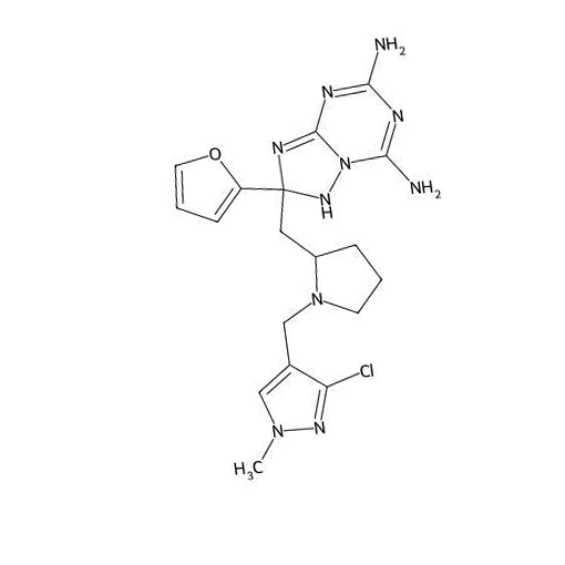 Cn1cc(CN2CCCC2CC2(c3ccco3)N=C3N=C(N)N=C(N)N3N2)c(Cl)n1